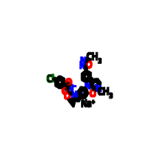 Cc1nnc(-c2ccc3c(c2)c2c(n3-c3ccc(CC4(NC(=O)[N-]S(=O)(=O)c5ccc(Cl)cc5)CC4)cc3)C(=O)N(C)CC2)o1.[Na+]